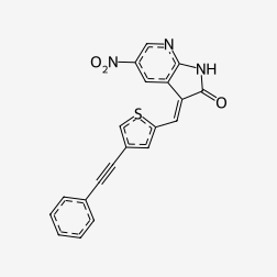 O=C1Nc2ncc([N+](=O)[O-])cc2C1=Cc1cc(C#Cc2ccccc2)cs1